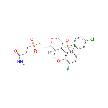 NC(=O)CCS(=O)(=O)CC[C@@H]1OCC[C@@]2(S(=O)(=O)c3ccc(Cl)cc3)c3c(F)ccc(F)c3OC[C@@H]12